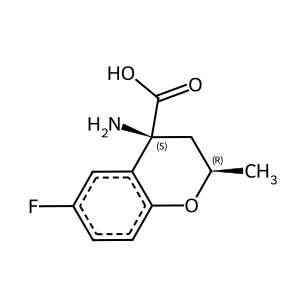 C[C@@H]1C[C@@](N)(C(=O)O)c2cc(F)ccc2O1